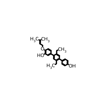 CCc1cc(-c2ccc(OCC=C(C)C)c(O)c2)c(CC)cc1-c1ccc(O)cc1